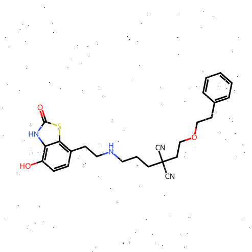 N#CC(C#N)(CCCNCCc1ccc(O)c2[nH]c(=O)sc12)CCOCCc1ccccc1